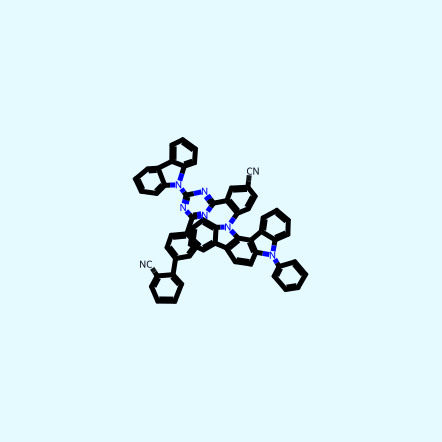 N#Cc1ccc(-n2c3ccccc3c3ccc4c(c5ccccc5n4-c4ccccc4)c32)c(-c2nc(-c3ccc(-c4ccccc4C#N)cc3)nc(-n3c4ccccc4c4ccccc43)n2)c1